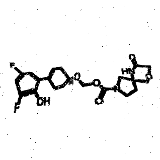 O=C1COCC2(CCN(C(=O)OCO[C@H]3CC=C(c4cc(F)cc(F)c4O)CC3)C2)N1